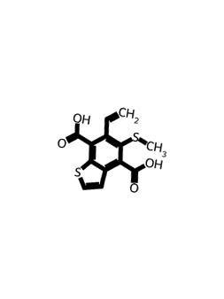 C=Cc1c(SC)c(C(=O)O)c2ccsc2c1C(=O)O